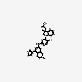 CN1CCc2c(cc(Nc3ncc(Cl)c(N4CC(C)(CC(=O)O)c5ccccc54)n3)cc2-c2ccoc2)C1